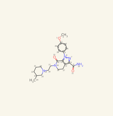 COc1ccc(-n2nc(C(N)=O)c3c2C(=O)N(CCN2CCCC(C)C2)CC3)cc1